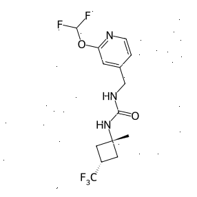 C[C@]1(NC(=O)NCc2ccnc(OC(F)F)c2)C[C@@H](C(F)(F)F)C1